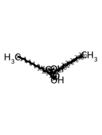 CCCCCCCCCCCCCCCC(CCCCCCCCCCCCCCC)(CC(=O)O)C(=O)O